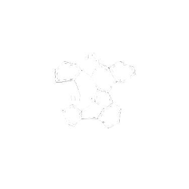 Cc1ccccc1-c1c2c(c3cccc4c5ccccc5n2c43)c2ccccc2[n+]1C